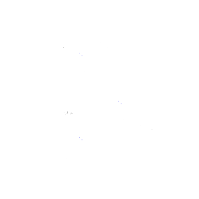 COC1CCCN1c1cc(C)nc2cc(N(C)C3CC3)ccc12